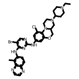 CCN1CCC(N2CCN3c4c(Cl)cc(Nc5ncc(Br)c(Nc6ccc7nccnc7c6C)n5)cc4OCC3C2)CC1